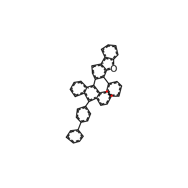 c1ccc(-c2ccc(-c3c4ccccc4c(-c4ccc5c(oc6ccccc65)c4-c4ccccc4)c4ccccc34)cc2)cc1